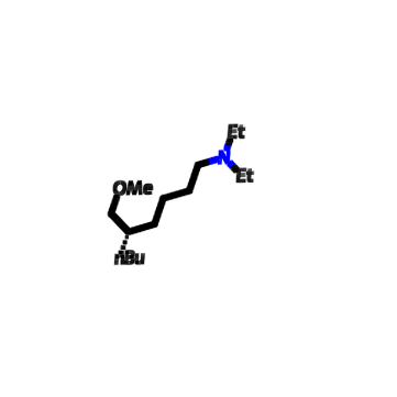 CCCC[C@@H](CCCCN(CC)CC)COC